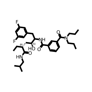 CCCN(CCC)C(=O)c1cccc(C(=O)NC(Cc2cc(F)cc(F)c2)[C@@H](O)C[C@@H](CC)C(=O)NCC(C)C)c1